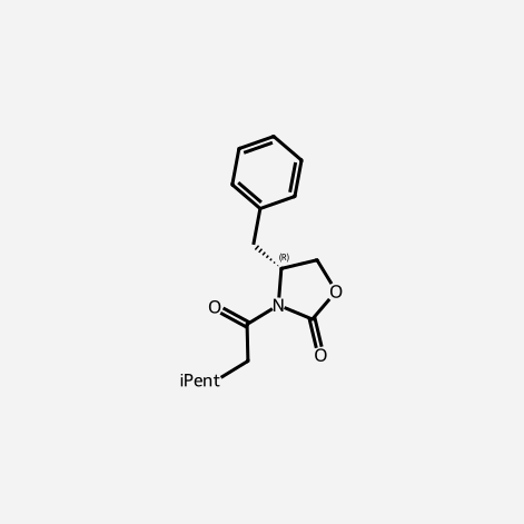 CCCC(C)CC(=O)N1C(=O)OC[C@H]1Cc1ccccc1